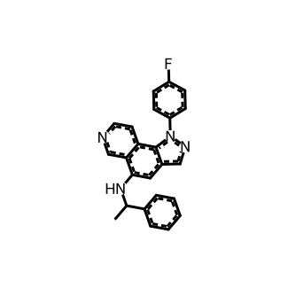 CC(Nc1cc2cnn(-c3ccc(F)cc3)c2c2ccncc12)c1ccccc1